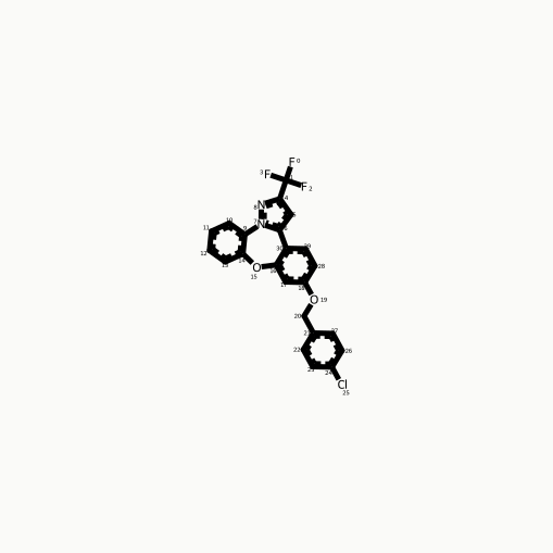 FC(F)(F)c1cc2n(n1)-c1ccccc1Oc1cc(OCc3ccc(Cl)cc3)ccc1-2